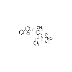 Cc1cc(CNC(CN=O)C(=O)N=O)c(OCc2cccnc2)cc1OCc1cccc(-c2ccccc2)c1Cl